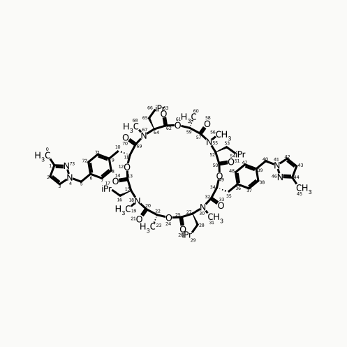 Cc1ccn(Cc2ccc(C[C@H]3OC(=O)[C@H](CC(C)C)N(C)C(=O)[C@@H](C)OC(=O)[C@H](CC(C)C)N(C)C(=O)[C@@H](Cc4ccc(Cn5ccc(C)n5)cc4)OC(=O)[C@H](CC(C)C)N(C)C(=O)[C@@H](C)OC(=O)[C@H](CC(C)C)N(C)C3=O)cc2)n1